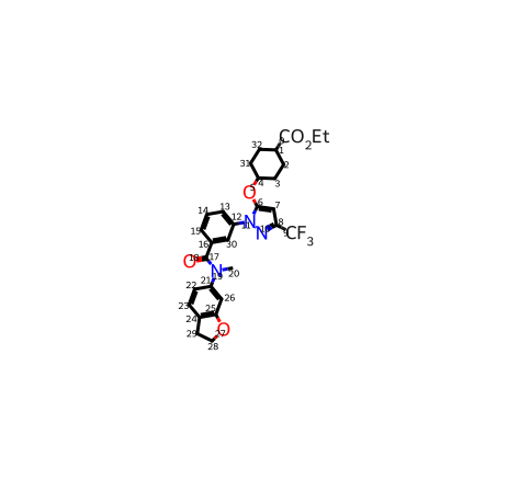 CCOC(=O)C1CCC(Oc2cc(C(F)(F)F)nn2-c2cccc(C(=O)N(C)c3ccc4c(c3)OCC4)c2)CC1